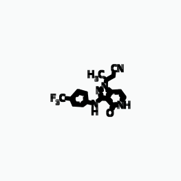 C[C@H](CC#N)n1nc(Nc2ccc(C(F)(F)F)cc2)c2c(=O)[nH]ccc21